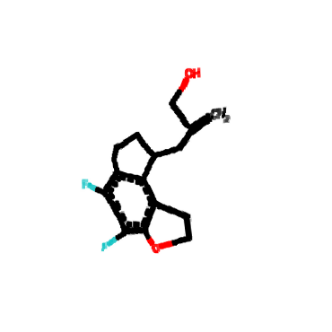 C=C(CO)CC1CCc2c(F)c(F)c3c(c21)CCO3